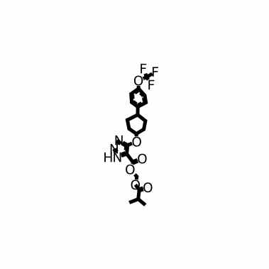 CC(C)C(=O)OCOC(=O)c1[nH]nnc1OC1CCC(c2ccc(OC(F)(F)F)cc2)CC1